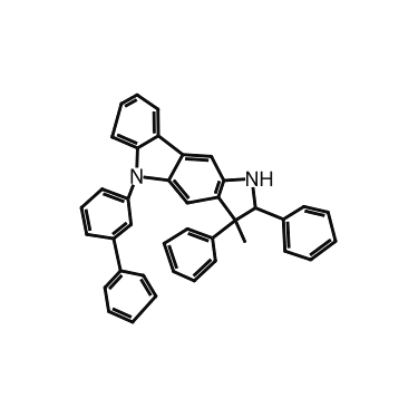 CC1(c2ccccc2)c2cc3c(cc2NC1c1ccccc1)c1ccccc1n3-c1cccc(-c2ccccc2)c1